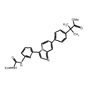 CCNC(=O)Nc1cccc(-c2cnc3cc(-c4ccc(C(C)(C)C(=O)OC)cc4)ccn23)c1